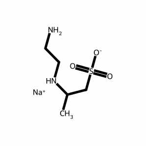 CC(CS(=O)(=O)[O-])NCCN.[Na+]